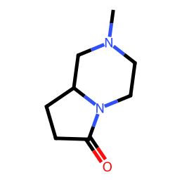 CN1CCN2C(=O)CCC2C1